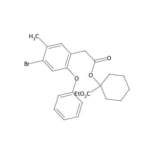 CCOC(=O)C1(OC(=O)Cc2cc(C)c(Br)cc2Oc2ccccc2)CCCCC1